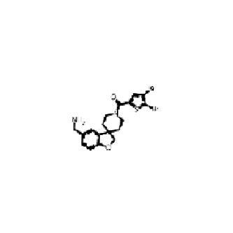 NCc1ccc2c(c1)C1(CCN(C(=O)c3cc(Br)c(Br)s3)CC1)CO2